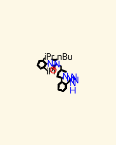 CCCCc1cn(-c2c(C(C)C)cccc2C(C)C)c(=O)n1Cc1ccc(-c2ccccc2-c2nnn[nH]2)nc1